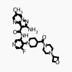 Cc1cnc2c(C(=O)Nc3cncc(F)c3N3CCC(C(=O)N4CCN(C5COC5)CC4)CC3)c(N)nn2c1